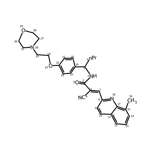 CCCC(NC(=O)/C(C#N)=C/c1ccc2cccc(C)c2n1)c1ccc(OCCN2CCOCC2)cc1